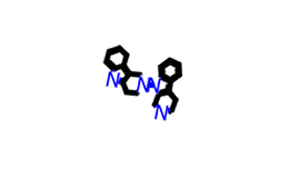 C1=CCC2=C3CN(n4c5c(c6ccccc64)CC[N]C5)CCC3=NC2=C1